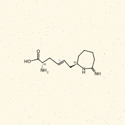 N=C1CCCC[C@H](C/C=C/C[C@H](N)C(=O)O)N1